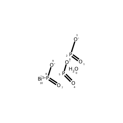 O.O=P[O-].O=P[O-].O=P[O-].[Bi+3]